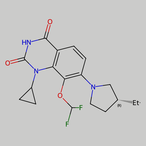 C[CH][C@@H]1CCN(c2ccc3c(=O)[nH]c(=O)n(C4CC4)c3c2OC(F)F)C1